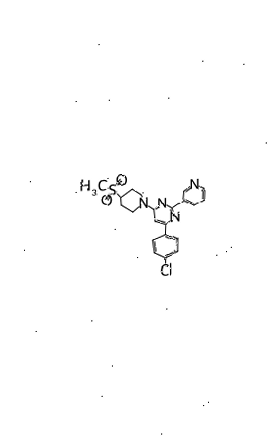 CS(=O)(=O)C1CCN(c2cc(-c3ccc(Cl)cc3)nc(-c3cccnc3)n2)CC1